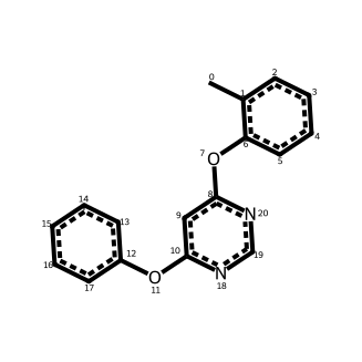 Cc1ccccc1Oc1cc(Oc2c[c]ccc2)ncn1